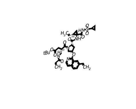 C=CC(=O)NC[C@H](CC(=O)OC(C)(C)C)C(=O)N1C[C@H](Oc2nccc3ccc(C=C)cc23)C[C@H]1C(=O)N[C@]1(C(=O)NS(=O)(=O)C2CC2)C[C@H]1C=C